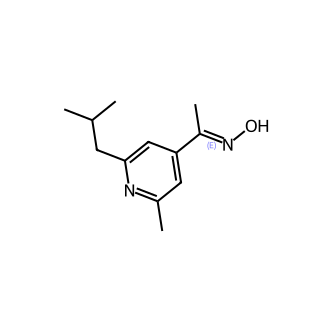 C/C(=N\O)c1cc(C)nc(CC(C)C)c1